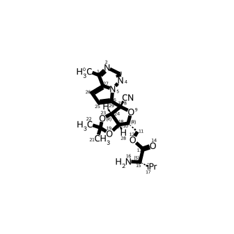 Cc1ncnn2c([C@]3(C#N)O[C@H](COC(=O)[C@@H](N)C(C)C)[C@H]4OC(C)(C)O[C@H]43)ccc12